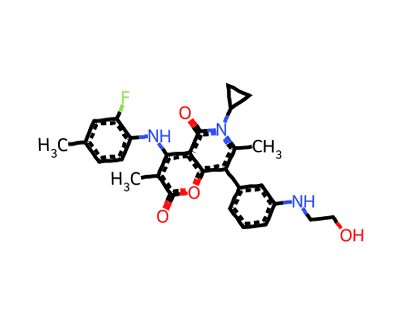 Cc1ccc(Nc2c(C)c(=O)oc3c(-c4cccc(NCCO)c4)c(C)n(C4CC4)c(=O)c23)c(F)c1